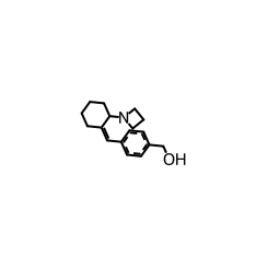 OCc1ccc(/C=C2/CCCCC2N2CCC2)cc1